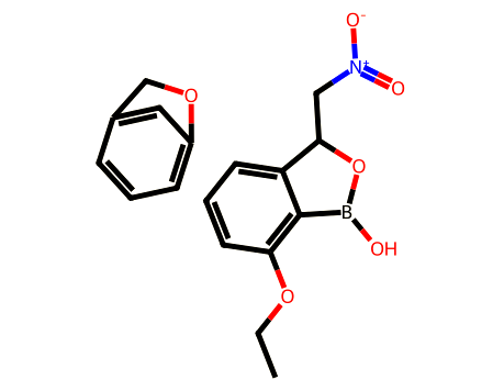 CCOc1cccc2c1B(O)OC2C[N+](=O)[O-].c1cc2cc(c1)OC2